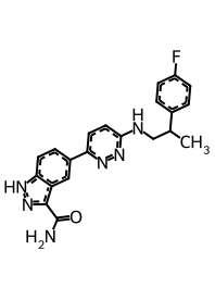 CC(CNc1ccc(-c2ccc3[nH]nc(C(N)=O)c3c2)nn1)c1ccc(F)cc1